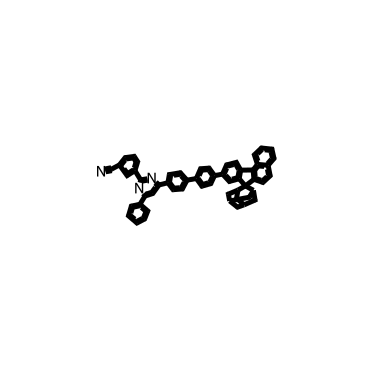 N#Cc1cccc(-c2nc(-c3ccccc3)cc(-c3ccc(-c4ccc(-c5ccc6c(c5)C5(c7ccc8ccccc8c7-6)C6CC7CC(C6)CC5C7)cc4)cc3)n2)c1